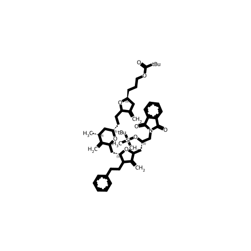 C=C1C[C@H](CCCOC(=O)C(C)(C)C)OC1CC[C@H]1C[C@@H](C)C(=C)C(C[C@@H]2OC(C[C@@H](CN3C(=O)c4ccccc4C3=O)O[Si](C)(C)C(C)(C)C)C(=C)C2CCc2ccccc2)O1